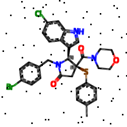 Cc1ccc(S[C@@]2(C(=O)N3CCOCC3)CC(=O)N(Cc3ccc(Br)cc3)[C@H]2c2c[nH]c3cc(Cl)ccc23)cc1